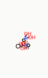 CC(C)C(c1c(O)c2c(oc1=O)CCCCCC2)N(c1ccccc1)S(=O)(=O)c1cccc(N(CCO)CCO)c1